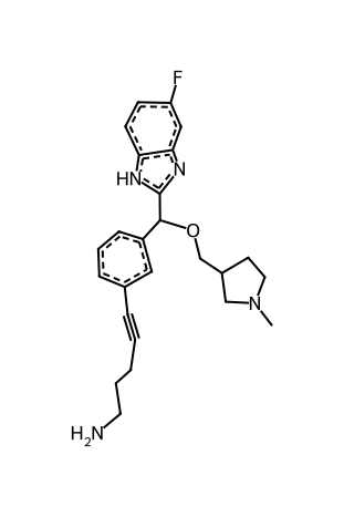 CN1CCC(COC(c2cccc(C#CCCCN)c2)c2nc3cc(F)ccc3[nH]2)C1